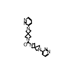 O=C(N1CC2(C1)CN(c1cccnn1)C2)N1CC2(C1)CN(c1cccnn1)C2